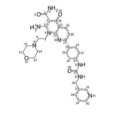 NC(=O)c1c(N)n(CCN2CCOCC2)c2nc(-c3ccc(NC(=O)NCc4cccnc4)cc3)ccc2c1=O